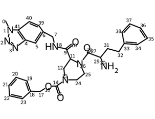 Cn1nnc2cc(CNC(=O)C3CN(C(=O)OCc4ccccc4)CCN3C(=O)C(N)CCc3ccccc3)ccc21